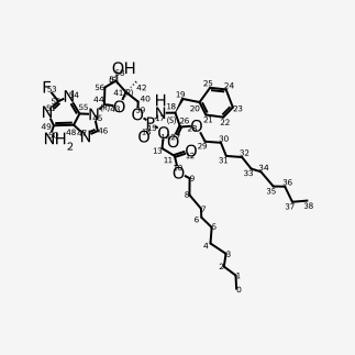 CCCCCCCCCCOC(=O)COP(=O)(N[C@@H](Cc1ccccc1)C(=O)OCCCCCCCCCC)OC[C@@]1(C)O[C@@H](n2cnc3c(N)nc(F)nc32)C[C@@H]1O